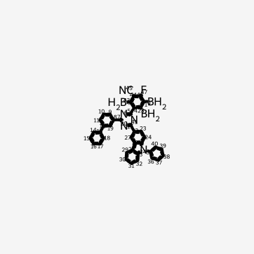 Bc1c(B)c(-c2nc(-c3cccc(-c4ccccc4)c3)nc(-c3ccc4c(c3)c3ccccc3n4-c3ccccc3)n2)c(B)c(C#N)c1F